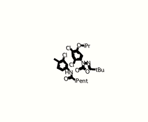 CC(C)Oc1cc(-n2nc(C(C)(C)C)oc2=O)c(Cl)cc1Cl.CCCC(C)C(=O)Nc1ccc(C)c(Cl)c1